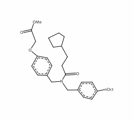 CCCCCCCCc1ccc(CN(Cc2ccc(OCC(=O)OC)cc2)C(=O)CCC2CCCC2)cc1